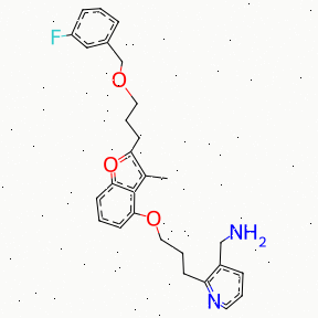 Cc1c(CCCOCc2cccc(F)c2)oc2cccc(OCCCc3ncccc3CN)c12